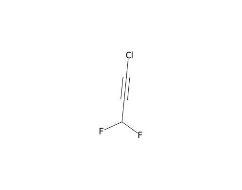 FC(F)C#CCl